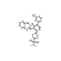 CC(C)S(=O)(=O)N1CCN(c2cnn(-c3cccc(Cl)c3)c(=O)c2OC2COc3ccccc3C2)CC1